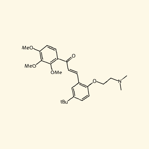 COc1ccc(C(=O)C=Cc2cc(C(C)(C)C)ccc2OCCN(C)C)c(OC)c1OC